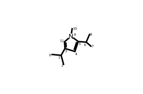 CC(C)c1cc(C(C)C)n(C)c1